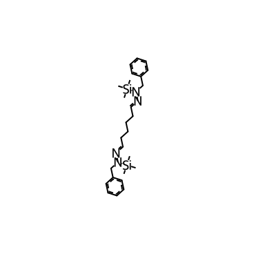 C[Si](C)(C)N(Cc1ccccc1)N=CCCCCC=NN(Cc1ccccc1)[Si](C)(C)C